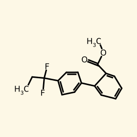 CCC(F)(F)c1ccc(-c2ccccc2C(=O)OC)cc1